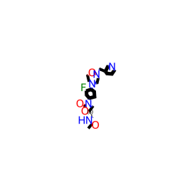 CC(=O)NC[C@H]1CN(c2ccc(N3CCON(Cc4cccnc4)CC3)c(F)c2)C(=O)O1